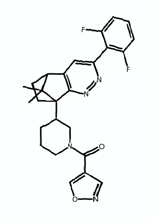 CC1(C)C2CCC1(C1CCCN(C(=O)c3cnoc3)C1)c1nnc(-c3c(F)cccc3F)cc12